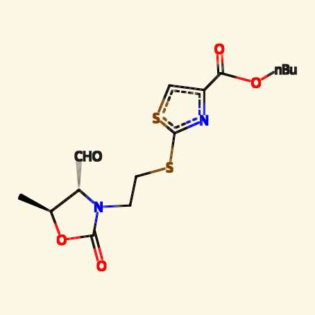 CCCCOC(=O)c1csc(SCCN2C(=O)O[C@@H](C)[C@@H]2C=O)n1